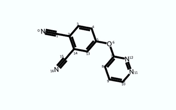 N#Cc1ccc(Oc2cc[c]nn2)cc1C#N